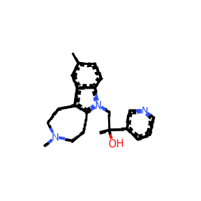 Cc1ccc2c(c1)c1c(n2CC(C)(O)c2cccnc2)CCN(C)CC1